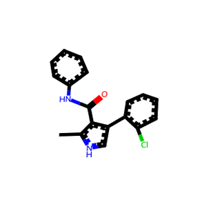 Cc1[nH]cc(-c2ccccc2Cl)c1C(=O)Nc1ccccc1